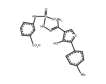 C/C(=N\NP(=O)(Nc1cccc(C(=O)O)c1)S(=O)(=O)O)c1csc(-c2ccc(C(C)(C)C)cc2)c1O